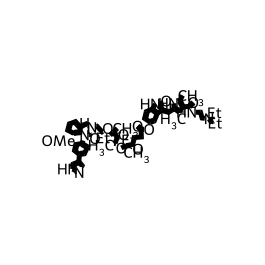 CCN(CC)CCNC(=O)c1c(C)[nH]c(/C=C2\C(=O)Nc3ccc(OC(=O)CCC(=O)C(C)(CC)OC(C)C(=O)C(C)(CC)OCCN(Cc4cccc(OC)c4)C(=O)Nc4ccc(-c5cn[nH]c5)cc4)cc32)c1C